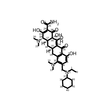 CCN(Cc1cc(O)c2c(c1N(C)C)C[C@H]1C[C@H]3[C@H](N(C)C)C(O)=C(C(N)=O)C(=O)[C@@]3(O)C(O)=C1C2=O)C1CCCCC1